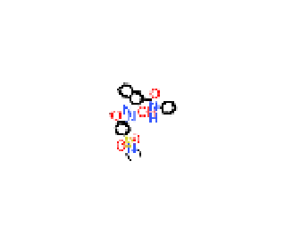 CCN(CC)S(=O)(=O)c1ccc(OC)c(/N=N/c2c(O)c(C(=O)Nc3ccccc3)cc3ccccc23)c1